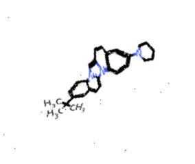 CC(C)(C)c1ccc2c(ccc3n4c(ccc5cc(N6CCCCC6)ccc54)c[n+]23)c1